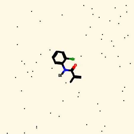 C=C(C)C(=O)N(CC)c1ccccc1Br